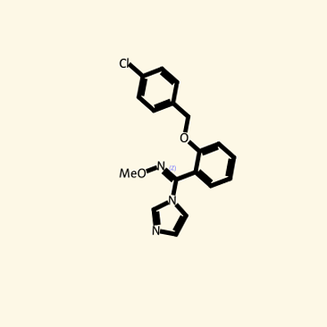 CO/N=C(/c1ccccc1OCc1ccc(Cl)cc1)n1ccnc1